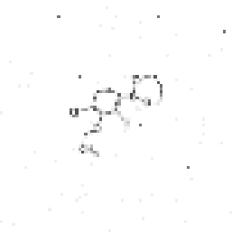 CCOc1c(Cl)ccc(B2OCCCO2)c1F